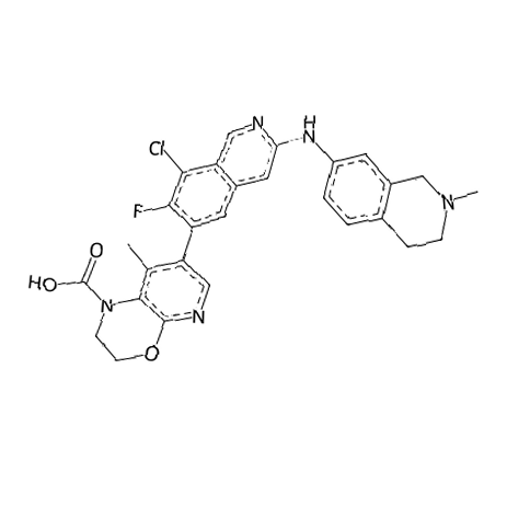 Cc1c(-c2cc3cc(Nc4ccc5c(c4)CN(C)CC5)ncc3c(Cl)c2F)cnc2c1N(C(=O)O)CCO2